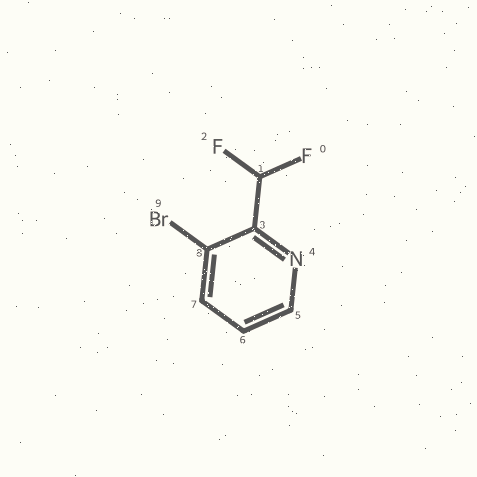 FC(F)c1ncccc1Br